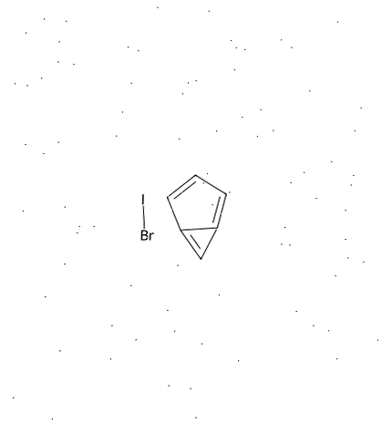 BrI.c1cc2cc-2c1